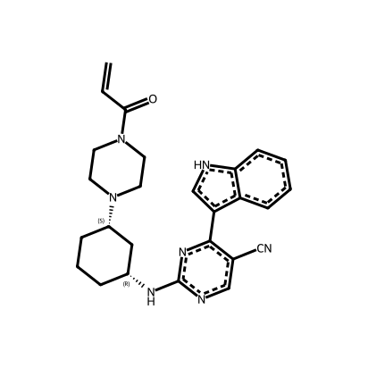 C=CC(=O)N1CCN([C@H]2CCC[C@@H](Nc3ncc(C#N)c(-c4c[nH]c5ccccc45)n3)C2)CC1